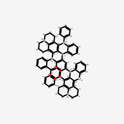 c1ccc(-c2ccccc2N2c3cc4c(cc3B3c5ccccc5N(c5ccccc5)c5c6c7c(c2c53)CCCN7CCC6)B2c3ccccc3Oc3c5c6c(c(c32)N4c2ccccc2)CCCN6CCC5)cc1